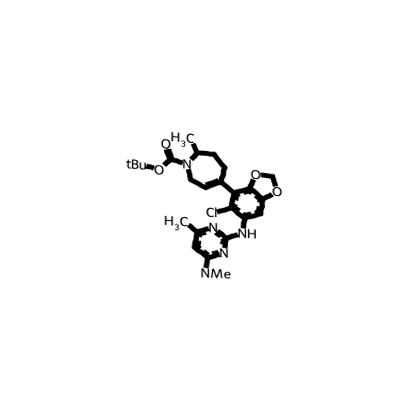 CNc1cc(C)nc(Nc2cc3c(c(C4=CCN(C(=O)OC(C)(C)C)C(C)CC4)c2Cl)OCO3)n1